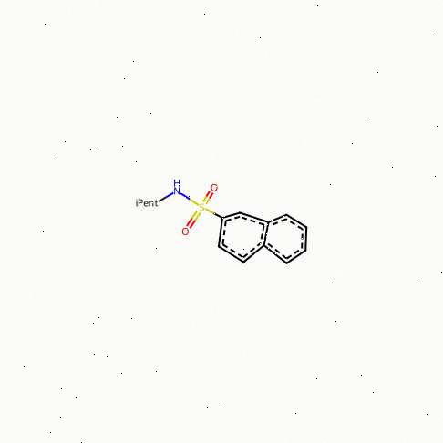 CCCC(C)NS(=O)(=O)c1ccc2ccccc2c1